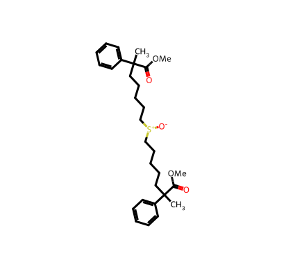 COC(=O)C(C)(CCCCC[S+]([O-])CCCCCC(C)(C(=O)OC)c1ccccc1)c1ccccc1